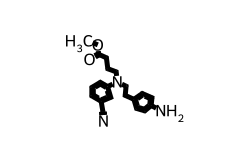 COC(=O)CCCN(CCc1ccc(N)cc1)c1cccc(C#N)c1